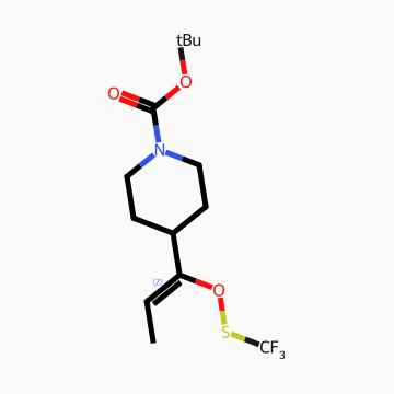 C/C=C(\OSC(F)(F)F)C1CCN(C(=O)OC(C)(C)C)CC1